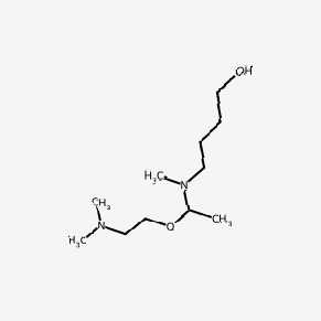 CC(OCCN(C)C)N(C)CCCCO